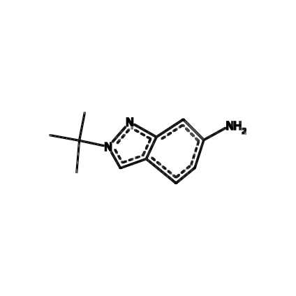 CC(C)(C)n1cc2ccc(N)cc2n1